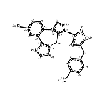 Cc1ccc(Cc2nc(-c3ncn4c3Cn3ncnc3-c3cc(F)ccc3-4)no2)cc1